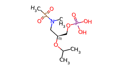 CC(C)O[C@H](COP(=O)(O)O)CN(C)S(C)(=O)=O